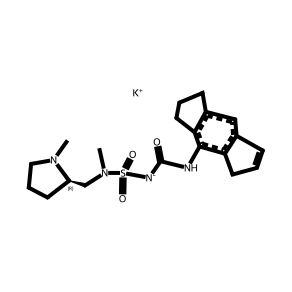 CN1CCC[C@@H]1CN(C)S(=O)(=O)[N-]C(=O)Nc1c2c(cc3c1CCC3)C=CC2.[K+]